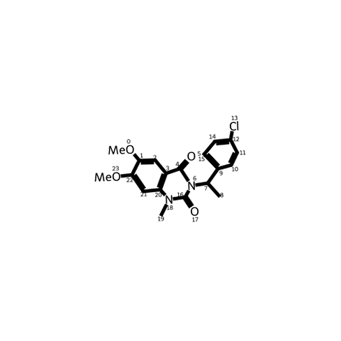 COc1cc2c(=O)n(C(C)c3ccc(Cl)cc3)c(=O)n(C)c2cc1OC